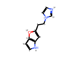 c1cn(CCc2cc3[nH]ccc3o2)cn1